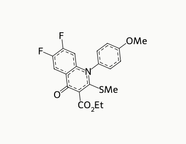 CCOC(=O)c1c(SC)n(-c2ccc(OC)cc2)c2cc(F)c(F)cc2c1=O